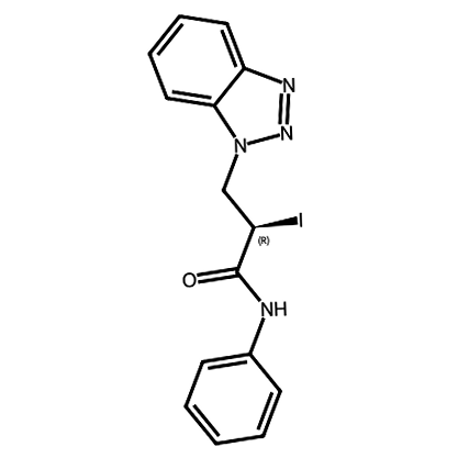 O=C(Nc1ccccc1)[C@H](I)Cn1nnc2ccccc21